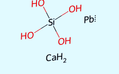 O[Si](O)(O)O.[CaH2].[Pb]